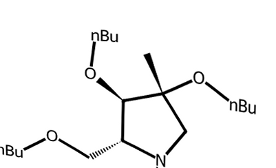 CCCCOC[C@H]1NC[C@@](C)(OCCCC)[C@@H]1OCCCC